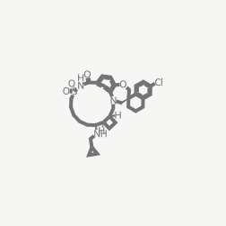 O=C1NS(=O)(=O)CCCCC[C@H](NCC2CC2)[C@@H]2CC[C@H]2CN2C[C@@]3(CCCc4cc(Cl)ccc43)COc3ccc1cc32